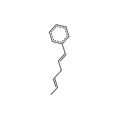 CC=CCC=Cc1ccccc1